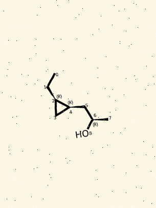 CC[C@@H]1C[C@@H]1C[C@@H](C)O